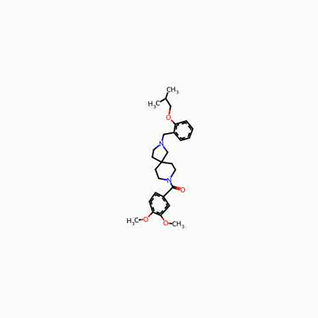 COc1ccc(C(=O)N2CCC3(CCN(Cc4ccccc4OCC(C)C)C3)CC2)cc1OC